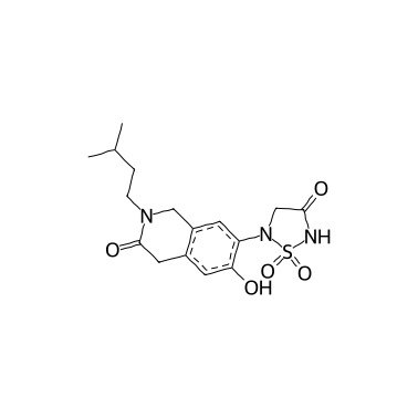 CC(C)CCN1Cc2cc(N3CC(=O)NS3(=O)=O)c(O)cc2CC1=O